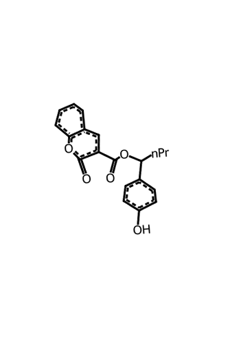 CCCC(OC(=O)c1cc2ccccc2oc1=O)c1ccc(O)cc1